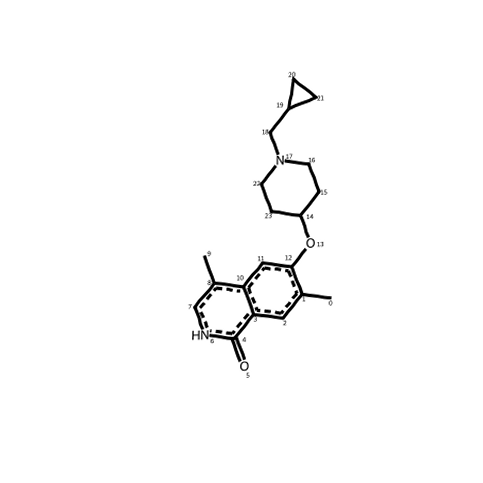 Cc1cc2c(=O)[nH]cc(C)c2cc1OC1CCN(CC2CC2)CC1